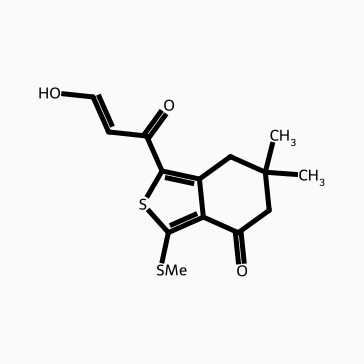 CSc1sc(C(=O)C=CO)c2c1C(=O)CC(C)(C)C2